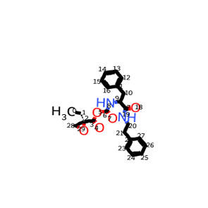 CC[C@@]1(C(=O)OC(=O)NC(Cc2ccccc2)C(=O)NCCc2ccccc2)CO1